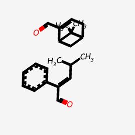 CC(C)/C=C(/C=O)c1ccccc1.CC1(C)C2CC=C(C=O)C1C2